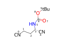 [C-]#[N+]CC[C@@H](C#N)NC(=O)OC(C)(C)C